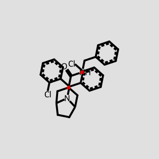 O=C(NCc1ccccc1)C1CC2CCC(C1)N2C(c1ccccc1Cl)c1ccccc1Cl